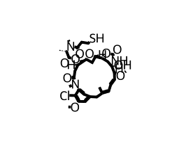 COc1cc2cc(c1Cl)N(C)C(=O)C[C@H](OC(=O)[C@H](C)N(C)C(=O)CCS)[C@@]1(C)CC(C)(O1)[C@@H]1C[C@@](O)(NC(=O)O1)[C@H](OC)/C=C/C=C(\C)C2